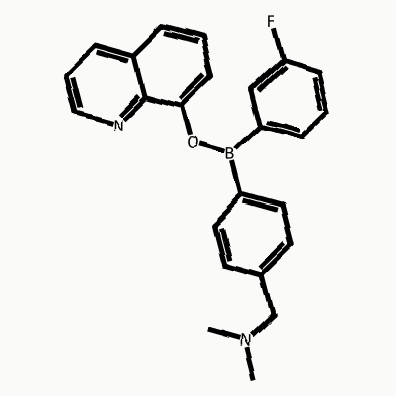 CN(C)Cc1ccc(B(Oc2cccc3cccnc23)c2cccc(F)c2)cc1